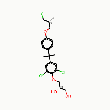 C[C@@H](CCl)COc1ccc(C(C)(C)c2cc(Cl)c(OC[C@@H](O)CO)c(Cl)c2)cc1